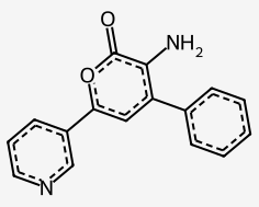 Nc1c(-c2ccccc2)cc(-c2cccnc2)oc1=O